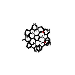 Cc1ccc(-c2c(-n3c4ccccc4c4cnccc43)c(-c3ccccn3)c(-n3c4ccccc4c4cnccc43)c(-n3c4ccccc4c4cnccc43)c2-n2c3ccccc3c3cnccc32)c(C)n1